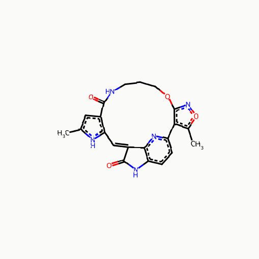 Cc1cc2c([nH]1)/C=C1\C(=O)Nc3ccc(nc31)-c1c(noc1C)OCCCNC2=O